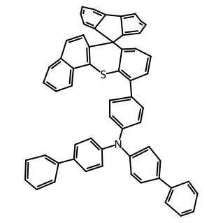 c1ccc(-c2ccc(N(c3ccc(-c4ccccc4)cc3)c3ccc(-c4cccc5c4Sc4c(ccc6ccccc46)C54c5ccccc5-c5ccccc54)cc3)cc2)cc1